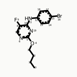 CCCCOc1ncc(F)c(Nc2ccc(Br)cc2)n1